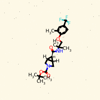 Cc1cc(C(F)(F)F)ccc1OCC(C)(C)NC(=O)[C@H]1[C@@H]2CN(C(=O)OC(C)(C)C)C[C@@H]21